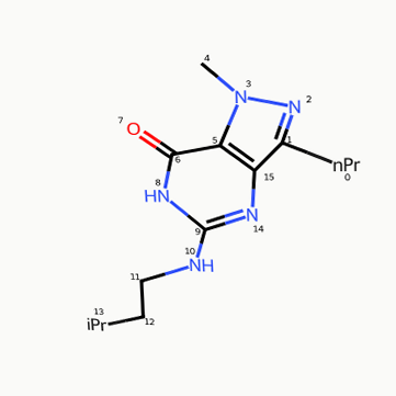 CCCc1nn(C)c2c(=O)[nH]c(NCCC(C)C)nc12